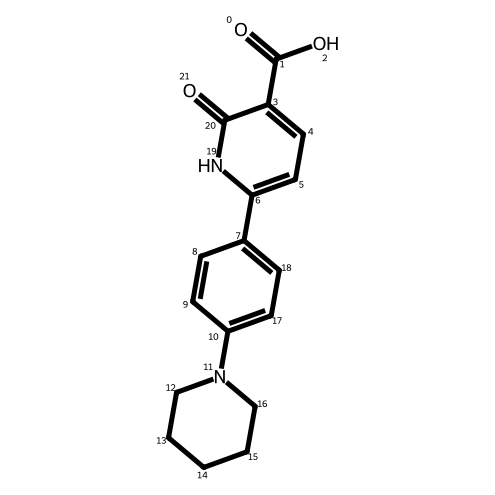 O=C(O)c1ccc(-c2ccc(N3CCCCC3)cc2)[nH]c1=O